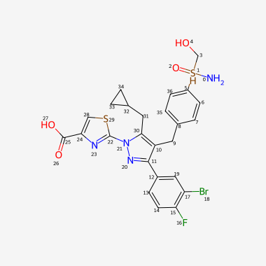 N[SH](=O)(CO)c1ccc(Cc2c(-c3ccc(F)c(Br)c3)nn(-c3nc(C(=O)O)cs3)c2CC2CC2)cc1